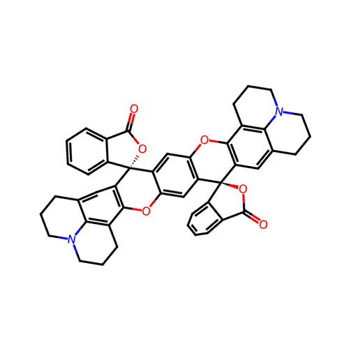 O=C1O[C@]2(c3cc4c(cc3Oc3c2cc2c5c3CCCN5CCC2)[C@@]2(OC(=O)c3ccccc32)c2cc3c5c(c2O4)CCCN5CCC3)c2ccccc21